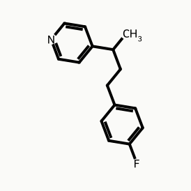 CC(CCc1ccc(F)cc1)c1ccncc1